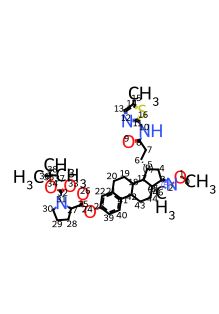 CO/N=C1\C[C@@H](CCC(=O)Nc2ncc(C)s2)C2C3CCc4cc(OC(=O)C5CCCN5C(=O)OC(C)(C)C)ccc4C3CC[C@]12C